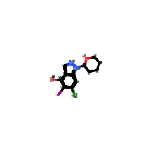 Clc1cc2c(cnn2C2CCCCO2)c(Br)c1I